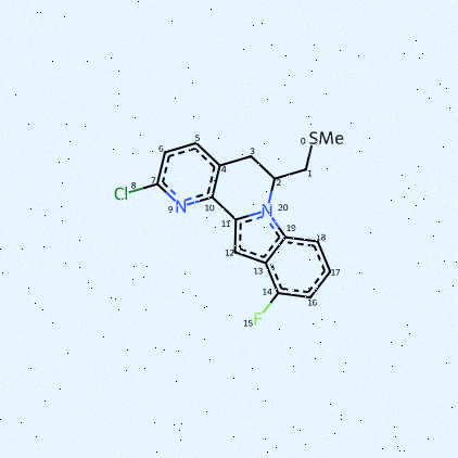 CSCC1Cc2ccc(Cl)nc2-c2cc3c(F)cccc3n21